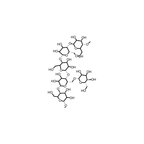 CO[C@@H]1OC(CO)[C@@H](O[C@H]2O[C@@H](CO[C@H]3O[C@@H](CO)[C@H](O)C(O)C3O)[C@@H](O[C@@H]3OC(CO)[C@@H](O[C@H]4O[C@@H](CO)[C@@H](O[C@@H]5OC(CO)[C@@H](OC)[C@H](O)C5O)C(O)C4O)[C@@H](O)C3O)C(O)C2O)[C@@H](O)C1O